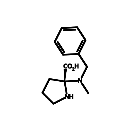 CN(Cc1ccccc1)[C@@]1(C(=O)O)CCCN1